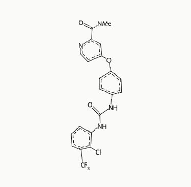 CNC(=O)c1cc(Oc2ccc(NC(=O)Nc3cccc(C(F)(F)F)c3Cl)cc2)ccn1